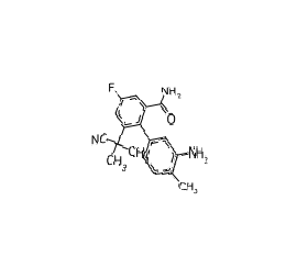 Cc1ccc(-c2c(C(N)=O)cc(F)cc2C(C)(C)C#N)cc1N